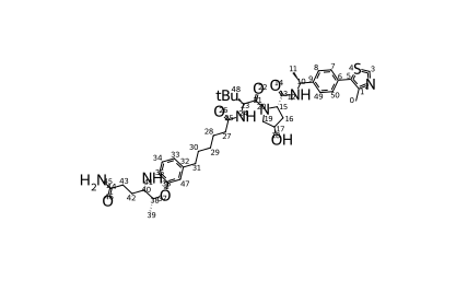 Cc1ncsc1-c1ccc([C@H](C)NC(=O)[C@@H]2C[C@@H](O)CN2C(=O)[C@@H](NC(=O)CCCCCc2cccc(O[C@H](C)[C@@H](N)CCC(N)=O)c2)C(C)(C)C)cc1